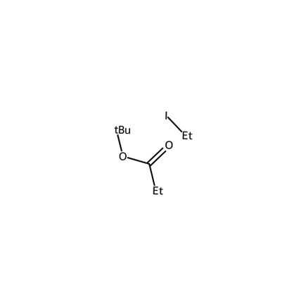 CCC(=O)OC(C)(C)C.CCI